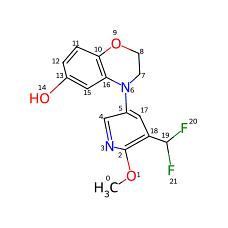 COc1ncc(N2CCOc3ccc(O)cc32)cc1C(F)F